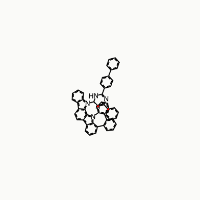 c1ccc(C2=NC(n3c4ccccc4c4ccc5c6cccc7c6n(c5c43)-c3ccccc3-c3ccccc3-7)NC(c3ccc(-c4ccccc4)cc3)=N2)cc1